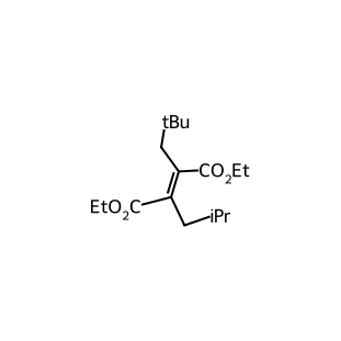 CCOC(=O)C(CC(C)C)=C(CC(C)(C)C)C(=O)OCC